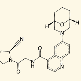 N#C[C@@H]1CSCN1C(=O)CNC(=O)c1ccnc2ccc(N3C[C@H]4CCC[C@@H](C3)O4)cc12